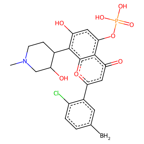 Bc1ccc(Cl)c(-c2cc(=O)c3c(OP(=O)(O)O)cc(O)c(C4CCN(C)CC4O)c3o2)c1